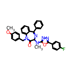 COc1ccc(CN2C(=O)C(N(C)c3nnc(-c4ccc(F)cc4)o3)N=C(c3ccccc3)c3ccccc32)cc1